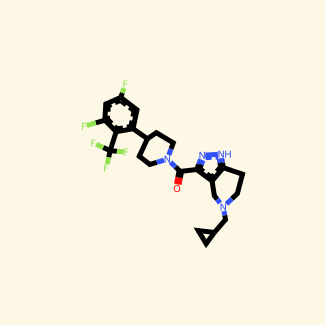 O=C(c1n[nH]c2c1CN(CC1CC1)CC2)N1CCC(c2cc(F)cc(F)c2C(F)(F)F)CC1